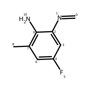 C=Nc1cc(F)cc(C)c1N